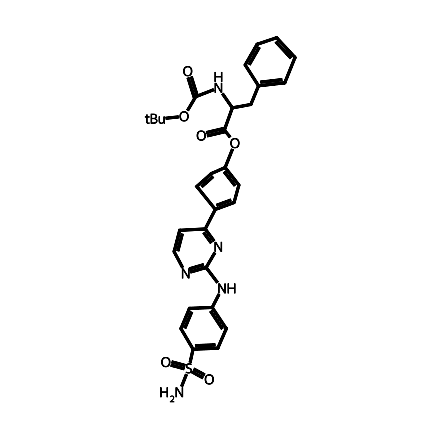 CC(C)(C)OC(=O)NC(Cc1ccccc1)C(=O)Oc1ccc(-c2ccnc(Nc3ccc(S(N)(=O)=O)cc3)n2)cc1